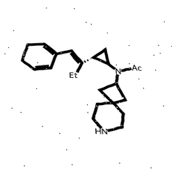 CC/C(=C\C1=CCCC=C1)[C@@H]1CC1N(C(C)=O)C1CC2(CCNCC2)C1